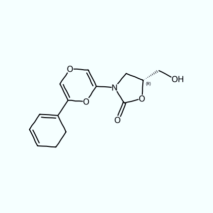 O=C1O[C@@H](CO)CN1C1=COC=C(C2=CC=CCC2)O1